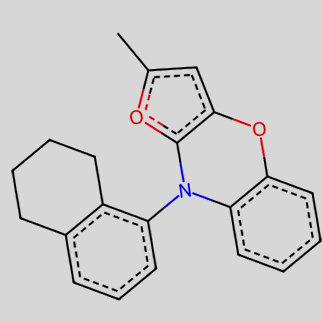 Cc1cc2c(o1)N(c1cccc3c1CCCC3)c1ccccc1O2